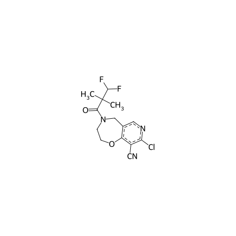 CC(C)(C(=O)N1CCOc2c(cnc(Cl)c2C#N)C1)C(F)F